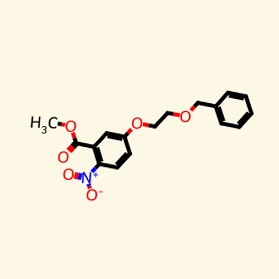 COC(=O)c1cc(OCCOCc2ccccc2)ccc1[N+](=O)[O-]